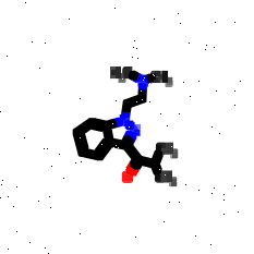 CC(C)C(=O)c1nn(CCN(C)C)c2ccccc12